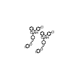 O=C(NC(c1ccc(Cl)cc1)c1ccccn1)C1CCN(CCOc2ccncc2)CC1.O=C(NC(c1ccc(Cl)cc1)c1ccccn1)C1CCN(CCOc2ccncc2)CC1